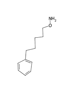 NOCCCCCc1ccccc1